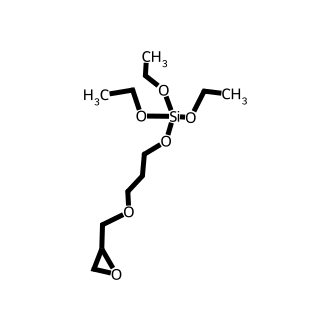 CCO[Si](OCC)(OCC)OCCCOCC1CO1